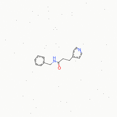 O=C(CCc1ccncc1)NCc1ccccc1